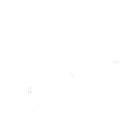 CCNC(=O)c1ccc(NC(=O)c2ccc(OC)c(C34CC5CC(CC(C5)C3)C4)c2)cc1